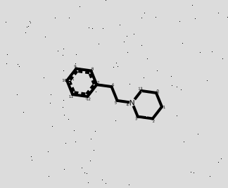 [CH]1CCCN(CCc2ccccc2)C1